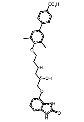 Cc1cc(-c2ccc(C(=O)O)cc2)cc(C)c1OCCNC[C@@H](O)COc1cccc2[nH]c(=O)[nH]c12